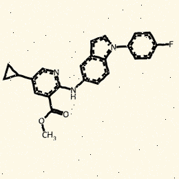 COC(=O)c1cc(C2CC2)cnc1Nc1ccc2c(ccn2-c2ccc(F)cc2)c1